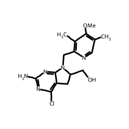 COc1c(C)cnc(CN2c3nc(N)nc(Cl)c3CC2CO)c1C